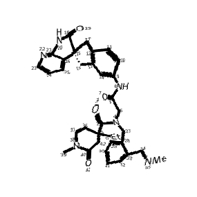 CCC1(C(=O)N(CC(=O)Nc2ccc3c(c2)C[C@@]2(C3)C(=O)Nc3ncccc32)Cc2ccccc2CNC)CCN(C)C(=O)C1